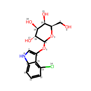 OC[C@H]1O[C@@H](Oc2c[nH]c3cccc(Cl)c23)[C@H](O)[C@@H](O)[C@H]1O